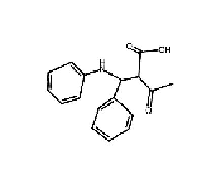 CC(=O)C(C(=O)O)C(Nc1ccccc1)c1ccccc1